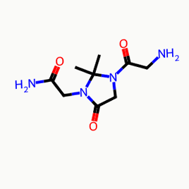 CC1(C)N(CC(N)=O)C(=O)CN1C(=O)CN